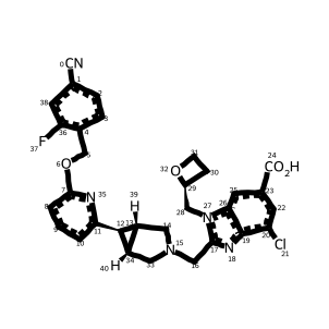 N#Cc1ccc(COc2cccc([C@H]3[C@@H]4CN(Cc5nc6c(Cl)cc(C(=O)O)cc6n5C[C@@H]5CCO5)C[C@@H]43)n2)c(F)c1